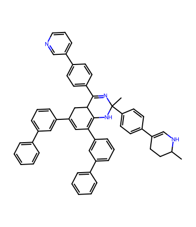 CC1CCC(c2ccc(C3(C)N=C(c4ccc(-c5cccnc5)cc4)C4CC(c5cccc(-c6ccccc6)c5)=CC(c5cccc(-c6ccccc6)c5)=C4N3)cc2)=CN1